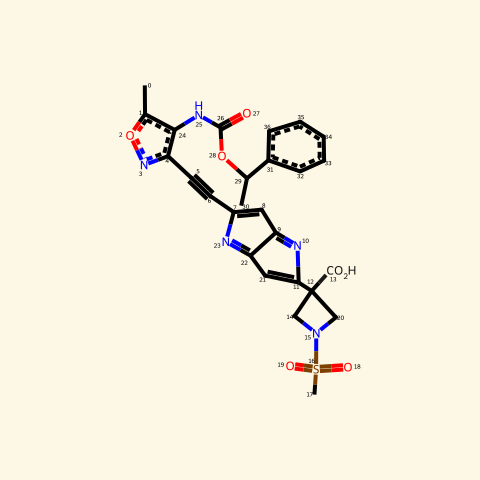 Cc1onc(C#CC2=CC3=NC(C4(C(=O)O)CN(S(C)(=O)=O)C4)=CC3=N2)c1NC(=O)OC(C)c1ccccc1